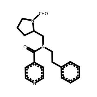 O=CN1CCCC1CN(CCc1ccccc1)C(=O)c1ccncc1